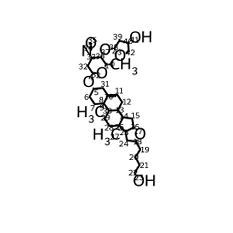 C[C@H]1O[C@@H](O[C@H]2CC[C@@]3(C)C(=CCC4C5CC6OC(CCCCO)CC6[C@@]5(C)CCC43)C2)CC(N=O)[C@@H]1O[C@H]1C[C@@H](O)CO1